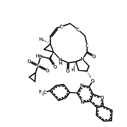 O=C1N[C@]2(C(=O)NS(=O)(=O)C3CC3)C[C@H]2/C=C\CCCCCC(=O)N2C[C@H](Oc3nc(-c4ccc(C(F)(F)F)cc4)nc4c3oc3ccccc34)C[C@@H]12